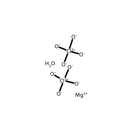 O.[Mg+2].[O-][Cl+3]([O-])([O-])[O-].[O-][Cl+3]([O-])([O-])[O-]